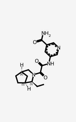 CC[C@H]1[C@H]2CC[C@H](C2)CN1C(=O)C(=O)Nc1cncc(C(N)=O)c1